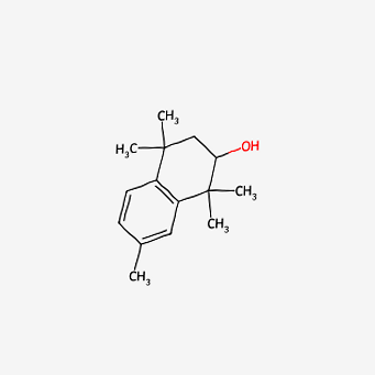 Cc1ccc2c(c1)C(C)(C)C(O)CC2(C)C